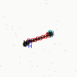 O=C(CCOCCOCCOCCOCCOCCOCCNC(=O)OC[C@H]1[C@@H]2CCC#CCC[C@@H]21)Oc1c(F)c(F)c(F)c(F)c1F